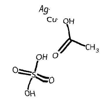 CC(=O)O.O=S(=O)(O)O.[Ag].[Cu]